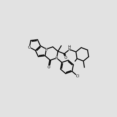 CC1CCCC(NC(=O)C2(C)Cn3c(cc4occc43)C(=O)N2c2ccc(Cl)cc2)C1C